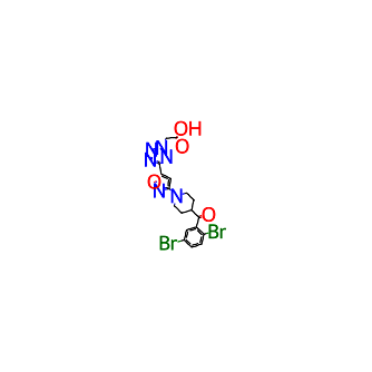 O=C(O)Cn1nnc(-c2cc(N3CCC(C(=O)c4cc(Br)ccc4Br)CC3)no2)n1